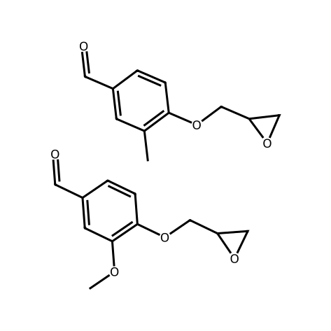 COc1cc(C=O)ccc1OCC1CO1.Cc1cc(C=O)ccc1OCC1CO1